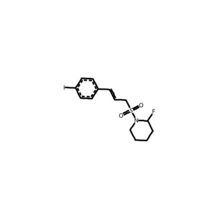 O=S(=O)(CC=Cc1ccc(I)cc1)N1CCCCC1F